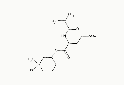 C=C(C)C(=O)N[C@@H](CCSC)C(=O)OC1CCCC(C)(C(C)C)C1